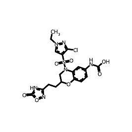 CCn1cc(S(=O)(=O)N2CC(CCc3noc(=O)[nH]3)Oc3ccc(NC(=O)O)cc32)c(Cl)n1